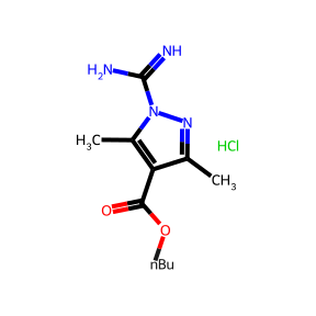 CCCCOC(=O)c1c(C)nn(C(=N)N)c1C.Cl